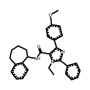 CCn1c(-c2ccccc2)nc(-c2ccc(OC)cc2)c1C(=O)NC1CCCCc2ccccc21